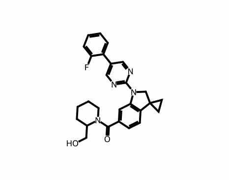 O=C(c1ccc2c(c1)N(c1ncc(-c3ccccc3F)cn1)CC21CC1)N1CCCCC1CO